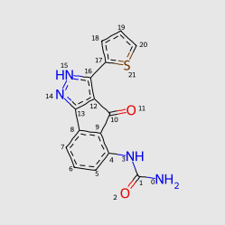 NC(=O)Nc1cccc2c1C(=O)c1c-2n[nH]c1-c1cccs1